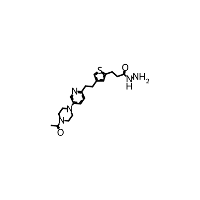 CC(=O)N1CCN(c2ccc(CCc3csc(CCC(=O)NN)c3)nc2)CC1